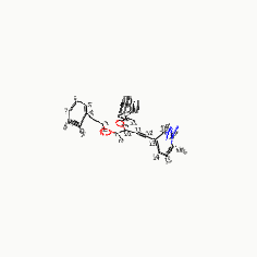 CC(OCc1ccccc1)C(C#Cc1cccnc1)O[Si](C)(C)C(C)(C)C